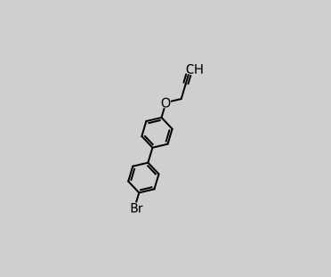 C#CCOc1ccc(-c2ccc(Br)cc2)cc1